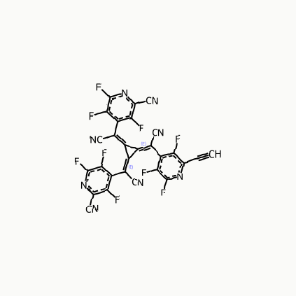 C#Cc1nc(F)c(F)c(/C(C#N)=C2/C(=C(C#N)c3c(F)c(F)nc(C#N)c3F)/C2=C(/C#N)c2c(F)c(F)nc(C#N)c2F)c1F